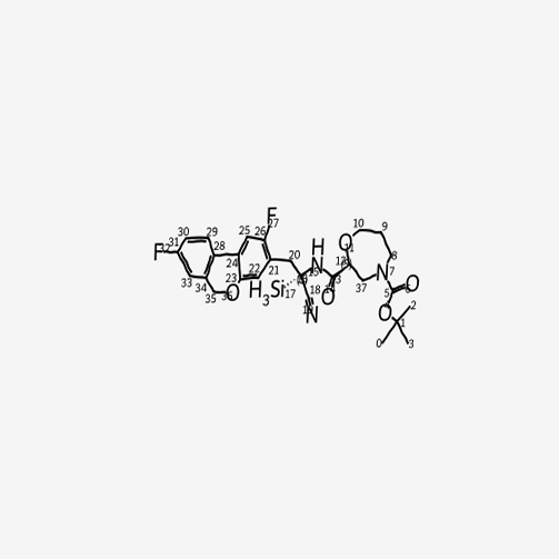 CC(C)(C)OC(=O)N1CCCO[C@H](C(=O)N[C@@]([SiH3])(C#N)Cc2cc3c(cc2F)-c2ccc(F)cc2CO3)C1